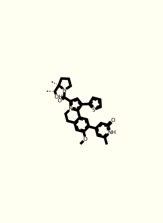 COc1cc2c(cc1-c1cc(C)[nH]c(=O)c1)-c1c(-c3cccs3)cc(C(=O)N3CCC[C@]3(C)[C@@H](C)O)n1CC2